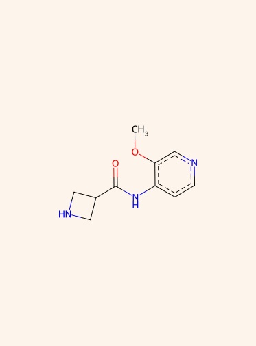 COc1cnccc1NC(=O)C1CNC1